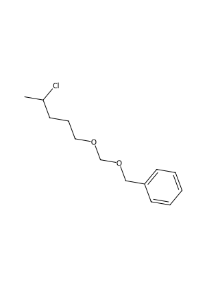 CC(Cl)CCCOCOCc1ccccc1